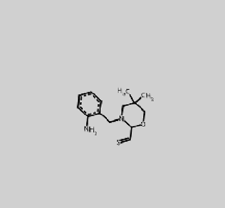 CC1(C)COC(C=S)N(Cc2ccccc2N)C1